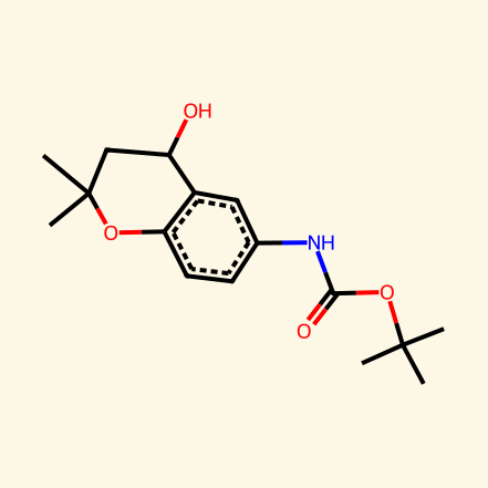 CC(C)(C)OC(=O)Nc1ccc2c(c1)C(O)CC(C)(C)O2